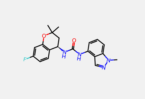 Cn1ncc2c(NC(=O)N[C@@H]3CC(C)(C)Oc4cc(F)ccc43)cccc21